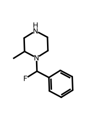 CC1CNCCN1C(F)c1ccccc1